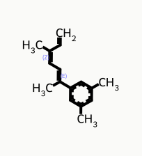 C=C/C(C)=C\C=C(/C)c1cc(C)cc(C)c1